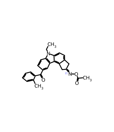 CCn1c2ccc(C(=O)c3ccccc3C)cc2c2c3c(ccc21)C/C(=N\OC(C)=O)C3